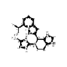 FC(F)c1cccc2cc(C3c4nc[nH]c4CCN3c3nnc(C(F)(F)F)o3)nn12